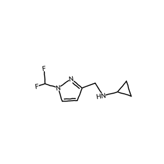 FC(F)n1ccc(CNC2CC2)n1